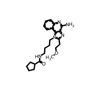 COCCc1nc2c(N)nc3ccccc3c2n1CCCCNC(=O)C1CCCC1